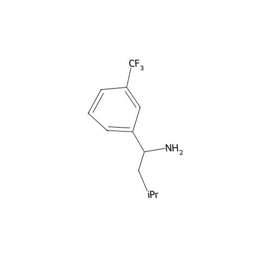 CC(C)CC(N)c1cccc(C(F)(F)F)c1